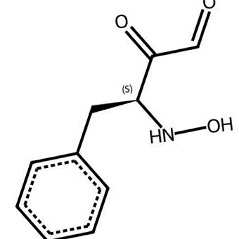 O=CC(=O)[C@H](Cc1ccccc1)NO